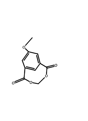 COc1cc2cc(c1)C(=O)OCOC2=O